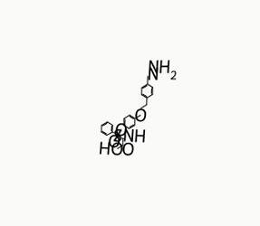 NN=Cc1ccc(CCOc2cccc(NC(C(=O)O)S(=O)(=O)c3ccccc3)c2)cc1